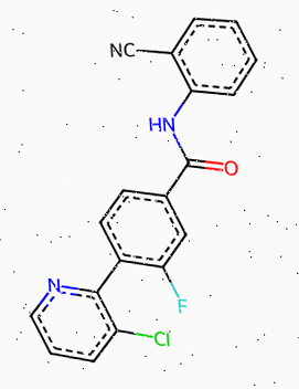 N#Cc1ccccc1NC(=O)c1ccc(-c2ncccc2Cl)c(F)c1